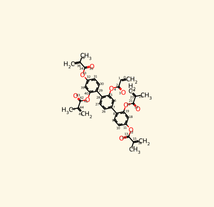 C=CC(=O)Oc1cc(-c2ccc(OC(=O)C(=C)C)cc2OC(=O)C(=C)C)ccc1-c1ccc(OC(=O)C(=C)C)cc1OC(=O)C(=C)C